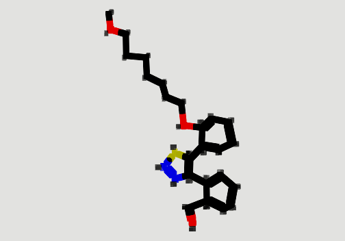 COCCCCCCCOc1ccccc1-c1snnc1-c1ccccc1[C]=O